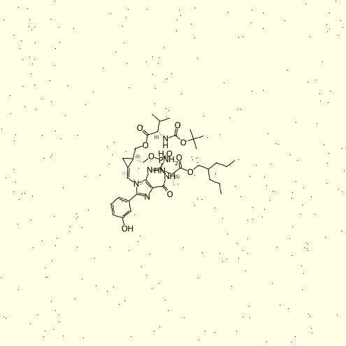 CCCC(CCC)COC(=O)[C@H](C)N[PH](=O)OC[C@@]1(COC(=O)[C@@H](NC(=O)OC(C)(C)C)C(C)C)C/C1=C/n1c(-c2cccc(O)c2)nc2c(=O)[nH]c(N)nc21